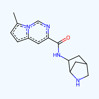 Cc1ccc2cc(C(=O)NC3CC4CNC3C4)ncn12